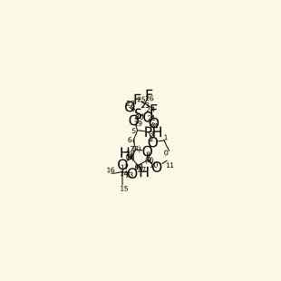 CCO[PH](=O)C(C[C@H]1O[C@@H](OC)[C@@H]2OC(C)(C)O[C@@H]21)OS(=O)(=O)C(F)(F)F